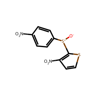 O=[N+]([O-])c1ccc([S+]([O-])c2sccc2[N+](=O)[O-])cc1